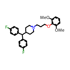 COc1cccc(OC)c1OCCCN1CCC(C(c2ccc(F)cc2)c2ccc(F)cc2)CC1